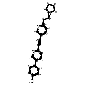 Clc1ccc(-c2ccc(C#Cc3ccc([CH]CN4CCCC4)nc3)nc2)cc1